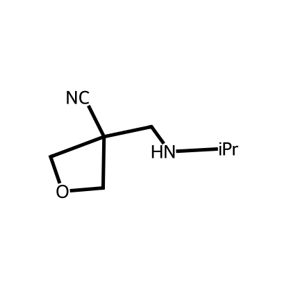 CC(C)NCC1(C#N)COC1